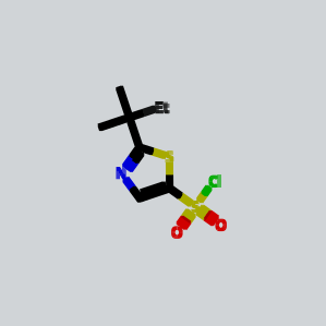 CCC(C)(C)c1ncc(S(=O)(=O)Cl)s1